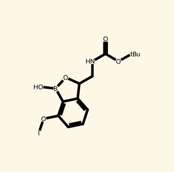 CC(C)(C)OC(=O)NCC1OB(O)c2c(OI)cccc21